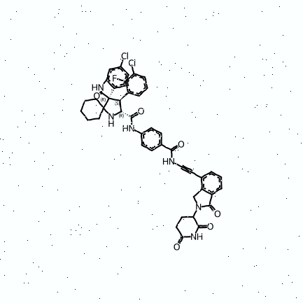 O=C1CCC(N2Cc3c(C#CNC(=O)c4ccc(NC(=O)[C@@H]5NC6(CCCCC6)[C@@]6(C(=O)Nc7cc(Cl)ccc76)[C@H]5c5cccc(Cl)c5F)cc4)cccc3C2=O)C(=O)N1